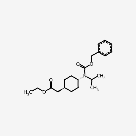 CCOC(=O)C[C@H]1CC[C@H](N(C(=O)OCc2ccccc2)C(C)C)CC1